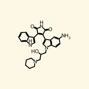 Nc1ccc2c(c1)c(C1=C(c3c[nH]c4ccccc34)C(=O)NC1=O)cn2CC(O)CN1CCCCC1